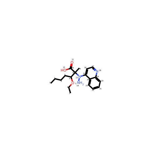 CCCCC(OCC)C(C)(C(=O)O)N(N)c1ccnc2ccccc12